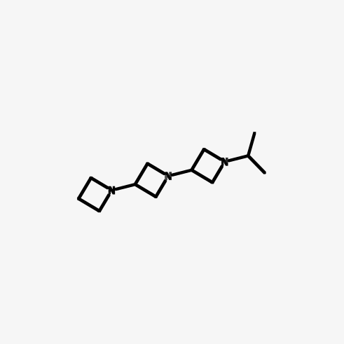 CC(C)N1CC(N2CC(N3CCC3)C2)C1